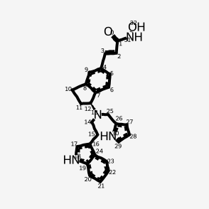 O=C(C=Cc1ccc2c(c1)CC[C@@H]2N(CCc1c[nH]c2ccccc12)Cc1ccc[nH]1)NO